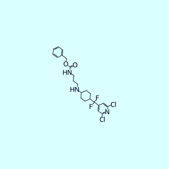 O=C(NCCCNC1CCC(C(F)(F)c2cc(Cl)nc(Cl)c2)CC1)OCc1ccccc1